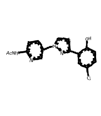 CC(=O)Nc1ccc(-n2ccc(-c3cc(Cl)ccc3O)n2)cn1